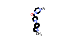 Cc1ccc2cc(N3CCC(C(=O)N4CCCN(C(C)C)CC4)CC3)ccc2n1